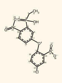 CCP(=O)(O)c1cc(Oc2ccc(Cl)cc2[N+](=O)[O-])ccc1[N+](=O)[O-]